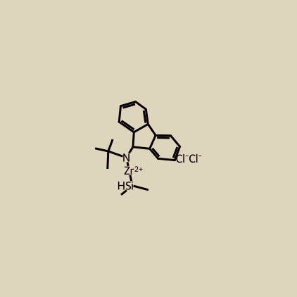 C[SiH](C)[Zr+2][N](C1c2ccccc2-c2ccccc21)C(C)(C)C.[Cl-].[Cl-]